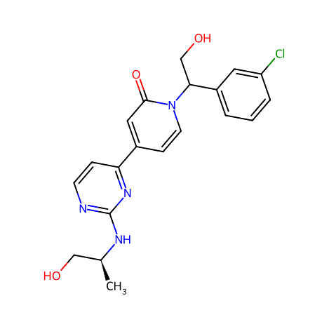 C[C@@H](CO)Nc1nccc(-c2ccn(C(CO)c3cccc(Cl)c3)c(=O)c2)n1